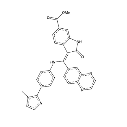 COC(=O)c1ccc2c(c1)NC(=O)C2=C(Nc1ccc(-c2nccn2C)cc1)c1ccc2nccnc2c1